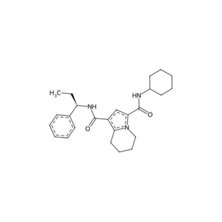 CC[C@@H](NC(=O)c1cc(C(=O)NC2CCCCC2)n2c1CCCC2)c1ccccc1